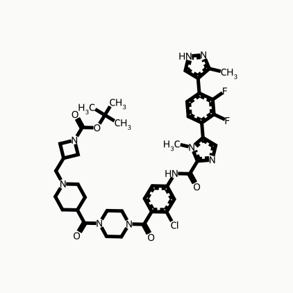 Cc1n[nH]cc1-c1ccc(-c2cnc(C(=O)Nc3ccc(C(=O)N4CCN(C(=O)C5CCN(CC6CN(C(=O)OC(C)(C)C)C6)CC5)CC4)c(Cl)c3)n2C)c(F)c1F